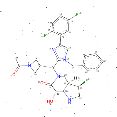 CC(=O)N1CC([C@H](c2nc(-c3cc(F)ccc3F)cn2Cc2ccccc2)N2C[C@@H]3C(NC[C@@H]3F)[C@H](O)C2=O)C1